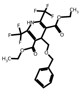 CCOC(=O)C1=C(C(F)(F)F)NC(C(F)(F)F)=C(C(=O)OCC)C1COCc1ccccc1